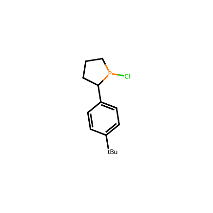 CC(C)(C)c1ccc(C2CCCP2Cl)cc1